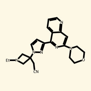 CCN1CC(CC#N)(n2ccc(-c3nc(N4CCOCC4)cc4ncccc34)n2)C1